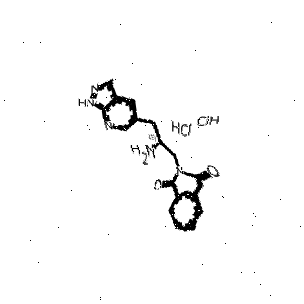 Cl.Cl.N[C@@H](Cc1cnc2[nH]ncc2c1)CN1C(=O)c2ccccc2C1=O